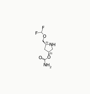 NC(=O)O[C@@H]1CN[C@H](COC(F)F)C1